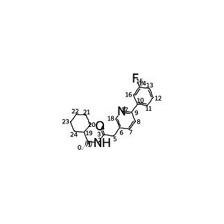 C[C@@H](NC(=O)Cc1ccc(-c2cccc(F)c2)nc1)C1CCCCC1